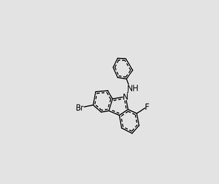 Fc1cccc2c3cc(Br)ccc3n(Nc3ccccc3)c12